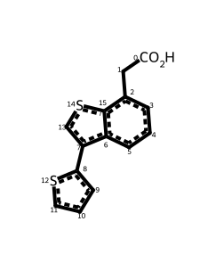 O=C(O)Cc1cccc2c(-c3cccs3)csc12